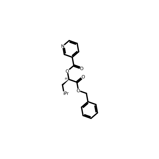 CC(C)C[C@@H](OC(=O)c1cccnc1)C(=O)OCc1ccccc1